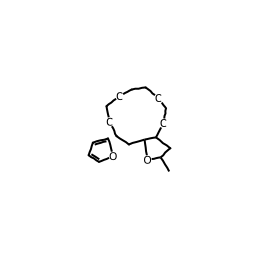 CC1CC2CCCCCCCCCCC2O1.c1ccoc1